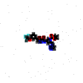 CC(C)(C)OC(=O)N1CC(NC(=O)c2ncc(-c3cccc(OC(F)(F)F)c3)o2)CC1Cn1ccnn1